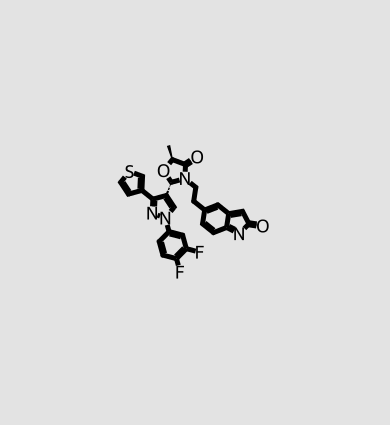 C[C@@H]1O[C@@H](c2cn(-c3ccc(F)c(F)c3)nc2-c2ccsc2)N(CCc2ccc3c(c2)=CC(=O)N=3)C1=O